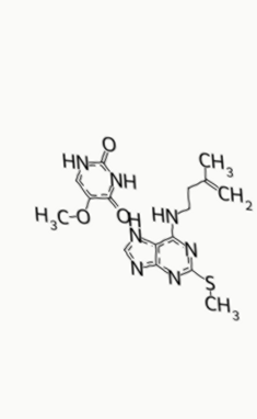 C=C(C)CCNc1nc(SC)nc2nc[nH]c12.COc1c[nH]c(=O)[nH]c1=O